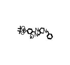 COc1cc(B2OC(C)(C)C(C)(C)O2)ccc1-c1ncc2c(n1)CCN(Cc1ccccc1)C2